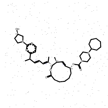 C/C(=C\C=C\C(C)c1ccnc(N2CC[C@@H](O)C2)n1)[C@H]1OC(=O)CCCCC[C@@H](OC(=O)N2CCN(C3CCCCCC3)CC2)/C=C/[C@@H]1C